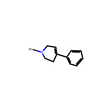 CC(C)N1CC=C(c2ccccc2)CC1